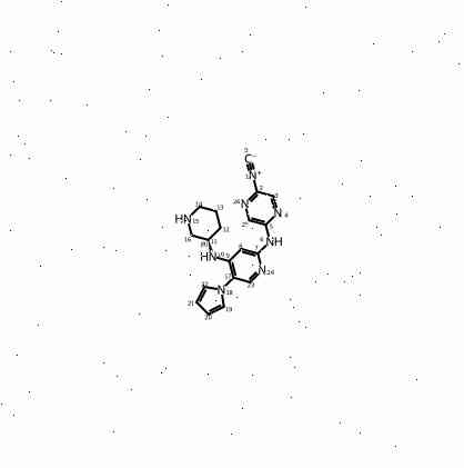 [C-]#[N+]c1cnc(Nc2cc(N[C@@H]3CCCNC3)c(-n3cccc3)cn2)cn1